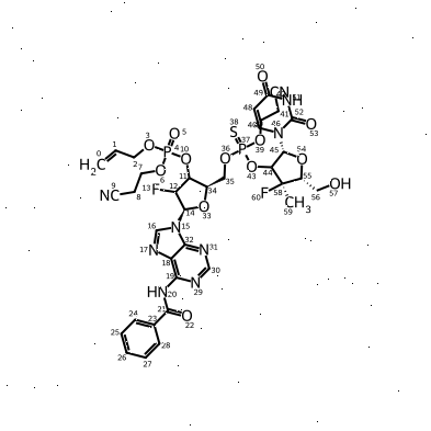 C=CCOP(=O)(OCCC#N)OC1C(F)[C@H](n2cnc3c(NC(=O)c4ccccc4)ncnc32)O[C@@H]1COP(=S)(OCCC#N)OC1[C@H](n2ccc(=O)[nH]c2=O)O[C@H](CO)[C@@]1(C)F